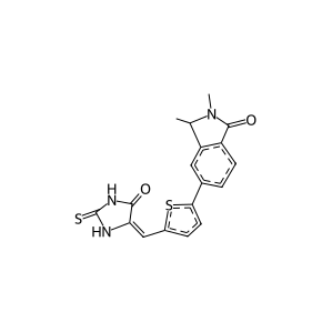 CC1c2cc(-c3ccc(C=C4NC(=S)NC4=O)s3)ccc2C(=O)N1C